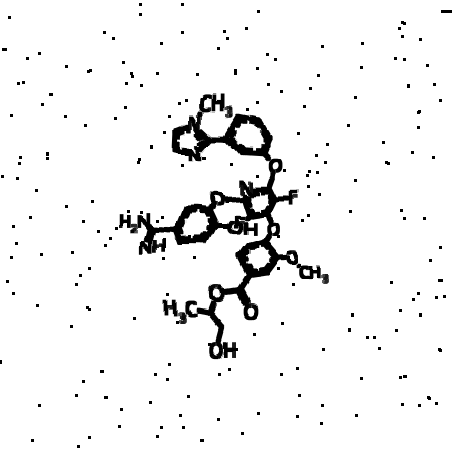 COc1cc(C(=O)OC(C)CO)ccc1Oc1c(F)c(Oc2cccc(-c3nccn3C)c2)nc(Oc2cc(C(=N)N)ccc2O)c1F